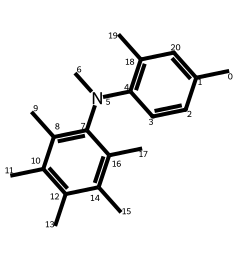 Cc1ccc(N(C)c2c(C)c(C)c(C)c(C)c2C)c(C)c1